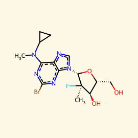 CN(c1nc(Br)nc2c1ncn2[C@@H]1O[C@H](CO)[C@@H](O)[C@@]1(C)F)C1CC1